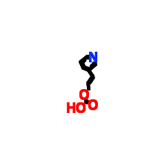 O=C(O)OCC=Cc1cccnc1